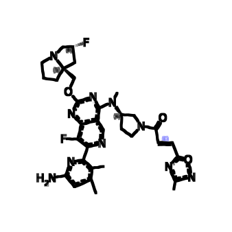 Cc1noc(/C=C/C(=O)N2CC[C@@H](N(C)c3nc(OC[C@@]45CCCN4C[C@H](F)C5)nc4c(F)c(-c5nc(N)cc(C)c5C)ncc34)C2)n1